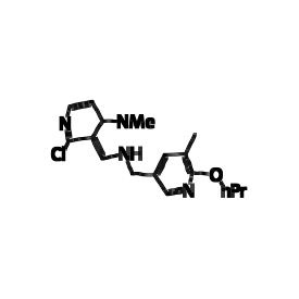 CCCOc1ncc(CN/C=C2/C(Cl)=NC=CC2NC)cc1C